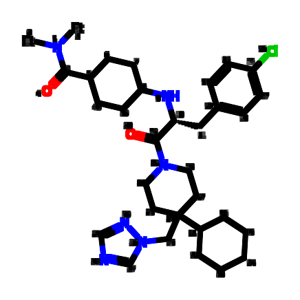 CCN(CC)C(=O)C1CCC(N[C@H](Cc2ccc(Cl)cc2)C(=O)N2CCC(Cn3cncn3)(C3CCCCC3)CC2)CC1